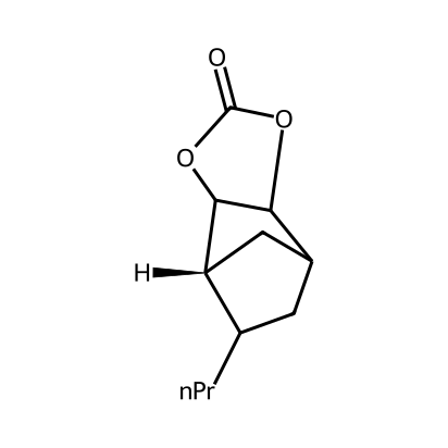 CCCC1CC2C[C@H]1C1OC(=O)OC21